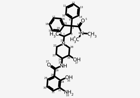 CC(CC(C(=O)N(C)C)(c1ccccc1)c1ccccc1)N1CCC(NC(=O)c2cccc(N)c2O)C(O)C1